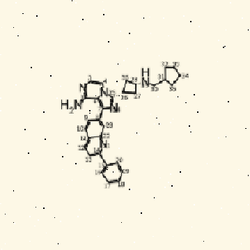 Nc1nccn2c1c(-c1ccc3ccc(-c4ccccc4)nc3c1)nc2[C@H]1C[C@@H](NCC2CCCC2)C1